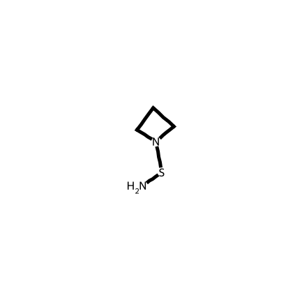 NSN1CCC1